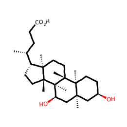 C[C@H](CCC(=O)O)[C@H]1CC[C@@]2(C)[C@]3(C)[C@H](O)C[C@]4(C)C[C@H](O)CC[C@]4(C)[C@@]3(C)CC[C@]12C